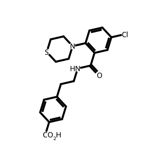 O=C(O)c1ccc(CCNC(=O)c2cc(Cl)ccc2N2CCSCC2)cc1